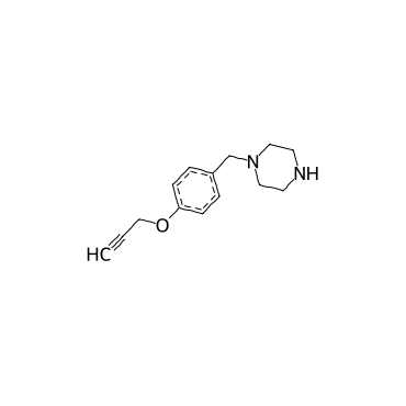 C#CCOc1ccc(CN2CCNCC2)cc1